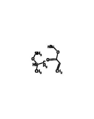 C=CC(=O)OCCCC.C[SiH](C)O[SiH3]